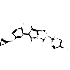 Cc1c(-c2cccc(OC3CC3)c2)c(C)n2c(=O)n(-c3ncc(Cl)cn3)ncc12